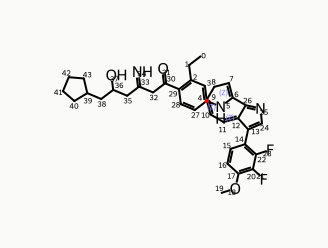 CCc1cc(N/C2=C\C/C=C\C=C3\C(c4ccc(OC)c(F)c4F)=CN=C23)ccc1C(=O)CC(=N)CC(O)CC1CCCC1